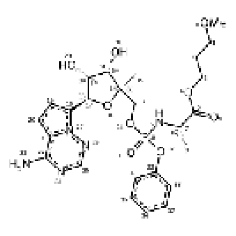 COCCCOC(=O)[C@H](C)NP(=O)(OC[C@@]1(C)O[C@@H](c2ccc3c(N)ncnn23)[C@H](O)[C@@H]1O)Oc1ccccc1